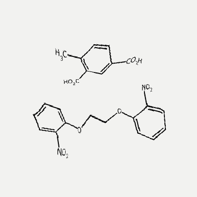 Cc1ccc(C(=O)O)cc1C(=O)O.O=[N+]([O-])c1ccccc1OCCOc1ccccc1[N+](=O)[O-]